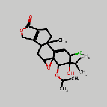 CC(C)OC1C23OC2CC2C4=C(CCC2(C)C3=CC(Cl)C1(O)C(C)C)C(=O)OC4